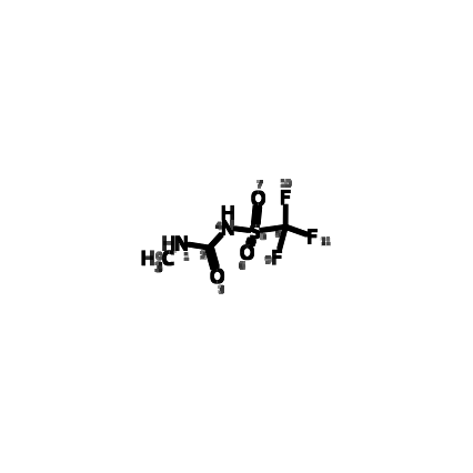 CNC(=O)NS(=O)(=O)C(F)(F)F